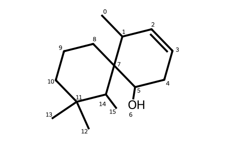 CC1C=CCC(O)C12CCCC(C)(C)C2C